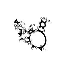 COC1=Cc2nc3c(nc2CC1C)CCCCC[C@@H]1CC1OC(=O)N[C@@H](C(C)(C)C)C(=O)N1C[C@H](O3)[C@@H](CC#N)[C@H]1C(=O)N[C@]1(C(=O)NS(=O)(=O)C2(C)CC2)C[C@H]1C(F)F